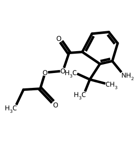 CCC(=O)OOC(=O)c1cccc(N)c1C(C)(C)C